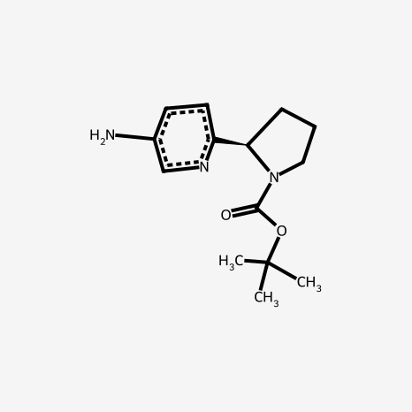 CC(C)(C)OC(=O)N1CCC[C@@H]1c1ccc(N)cn1